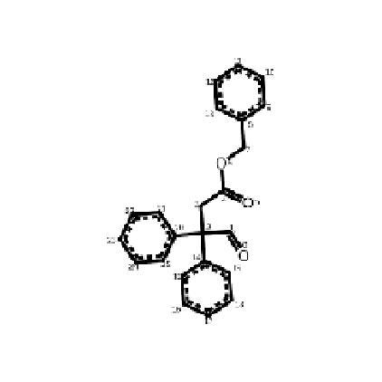 O=[C]C(CC(=O)OCc1ccccc1)(c1ccccc1)c1ccccc1